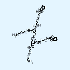 NCCOCCOCCNC(=O)CN(CCOCCOCCN(CC(=O)NCCOCCOCCN)CC(=O)NCCOCCOCCNS(=O)(=O)c1ccccc1)CC(=O)NCCOCCOCCNS(=O)(=O)c1ccccc1